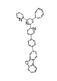 c1ccc(-c2cc(-c3ccccn3)nc(-c3ccc(-c4ccc(-c5ccc6c(c5)oc5ccccc56)cc4)cn3)c2)cc1